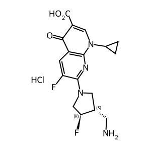 Cl.NC[C@H]1CN(c2nc3c(cc2F)c(=O)c(C(=O)O)cn3C2CC2)C[C@@H]1F